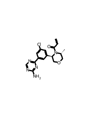 C=CC(=O)N1[C@H](C)COC[C@H]1c1cc(Cl)cc(-c2ncnc(N)n2)c1